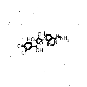 NN=c1nc[nH]c2c1ccn2[C@@H]1O[C@H](C(O)c2ccc(Cl)c(Cl)c2)[C@@H](O)[C@H]1O